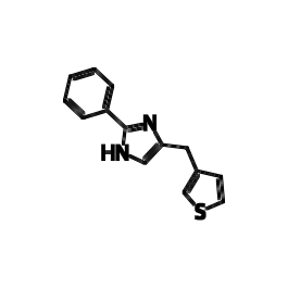 c1ccc(-c2nc(Cc3ccsc3)c[nH]2)cc1